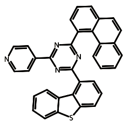 c1ccc2c(c1)ccc1cccc(-c3nc(-c4ccncc4)nc(-c4cccc5sc6ccccc6c45)n3)c12